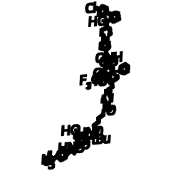 Cc1ncsc1-c1ccc([C@H](C)NC(=O)[C@@H]2C[C@@H](O)CN2C(=O)C(NC(=O)CCCCCC(=O)N2CCN(CCC(CSc3ccccc3)Nc3ccc(S(=O)(=O)NC(=O)c4ccc(N5CCC([C@@H](O)c6ccccc6-c6ccc(Cl)cc6)CC5)cc4)cc3S(=O)(=O)C(F)(F)F)CC2)C(C)(C)C)cc1